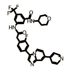 O=C(Cc1ccc(-c2cnc3cc(-c4ccncc4)ccn23)cc1F)Nc1cc(C(=O)NC2CCOCC2)cc(C(F)(F)F)c1